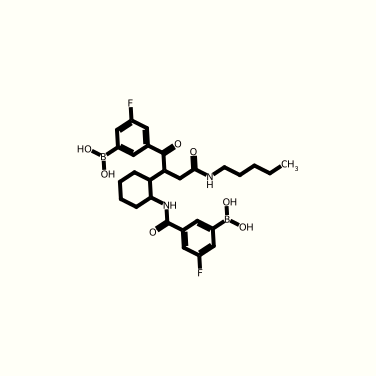 CCCCCNC(=O)CC(C(=O)c1cc(F)cc(B(O)O)c1)C1CCCCC1NC(=O)c1cc(F)cc(B(O)O)c1